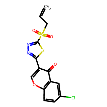 C=CCS(=O)(=O)c1nnc(-c2coc3ccc(Cl)cc3c2=O)s1